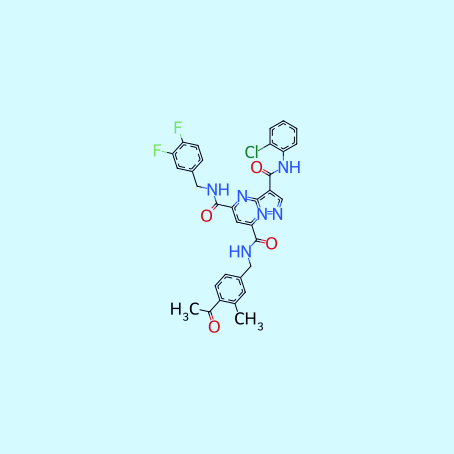 CC(=O)c1ccc(CNC(=O)c2cc(C(=O)NCc3ccc(F)c(F)c3)nc3c(C(=O)Nc4ccccc4Cl)cnn23)cc1C